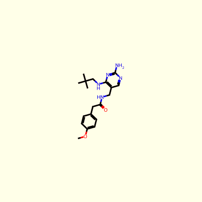 COc1ccc(CC(=O)NCc2cnc(N)nc2NCC(C)(C)C)cc1